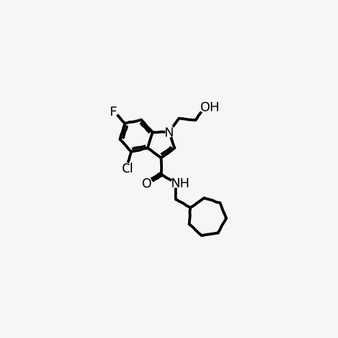 O=C(NCC1CCCCCC1)c1cn(CCO)c2cc(F)cc(Cl)c12